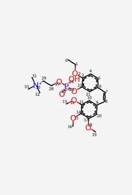 CCOc1ccc(/C=C\c2cc(OC)c(OC)c(OC)c2)cc1OP(=O)(O)OCC[N+](C)(C)C